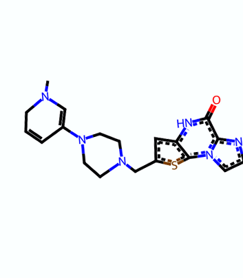 CN1C=C(N2CCN(Cc3cc4[nH]c(=O)c5nccn5c4s3)CC2)C=CC1